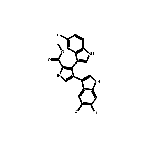 COC(=O)c1[nH]cc(-c2c[nH]c3cc(Cl)c(Cl)cc23)c1-c1c[nH]c2ccc(Cl)cc12